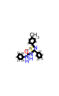 Cc1ccc(-c2nc(-c3ccccc3)c(NC(=O)Nc3ccccc3)s2)cc1